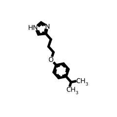 CC(C)c1ccc(OCCCc2c[nH]cn2)cc1